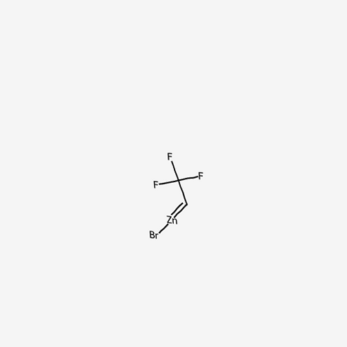 FC(F)(F)[CH]=[Zn][Br]